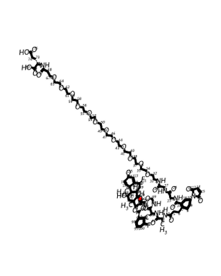 C[C@H](NC(=O)CCc1ccc(N2C(=O)C=CC2=O)cc1C(=O)NCC(=O)NCC(=O)NCCOCCOCCOCCOCCOCCOCCOCCOCCOCCOCCOCCOCCC(=O)N[C@@H](CCC(=O)O)C(=O)O)C(=O)N[C@@H](C)C(=O)NCOCC(=O)[C@@]12O[C@H](c3cccc(F)c3)O[C@@H]1C[C@H]1[C@@H]3C[C@H](F)C4=CC(=O)C=C[C@]4(C)[C@@]3(F)[C@@H](O)C[C@@]12C